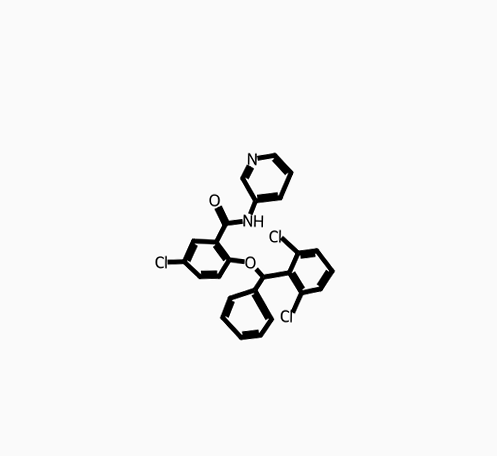 O=C(Nc1cccnc1)c1cc(Cl)ccc1OC(c1ccccc1)c1c(Cl)cccc1Cl